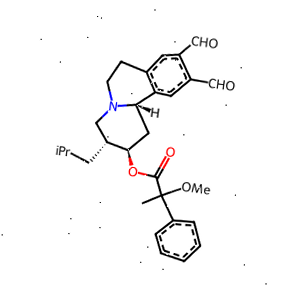 COC(C)(C(=O)O[C@@H]1C[C@H]2c3cc(C=O)c(C=O)cc3CCN2C[C@H]1CC(C)C)c1ccccc1